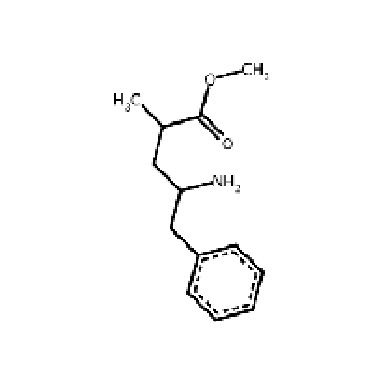 COC(=O)C(C)CC(N)Cc1ccccc1